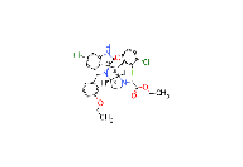 CCOC(=O)CN1CC[C@H]2[C@@H]1[C@H](c1cccc(Cl)c1F)[C@]1(C(=O)Nc3cc(Cl)ccc31)N2Cc1cccc(OCC)c1